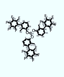 Cc1c(OB(Oc2cccc(-c3c(F)c(F)c(F)c(F)c3F)c2C)Oc2cccc(-c3c(F)c(F)c(F)c(F)c3F)c2C)cccc1-c1c(F)c(F)c(F)c(F)c1F